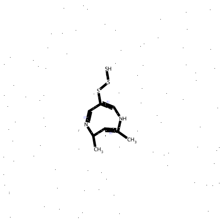 C/C1=C\C(C)/N=C\C(SSS)=C/N1